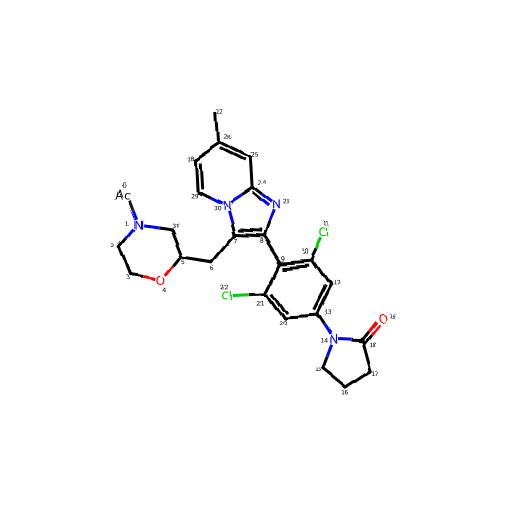 CC(=O)N1CCOC(Cc2c(-c3c(Cl)cc(N4CCCC4=O)cc3Cl)nc3cc(C)ccn23)C1